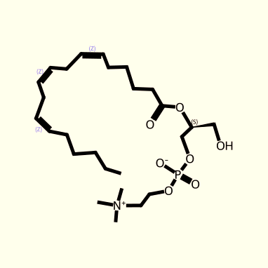 CCCCC/C=C\C/C=C\C/C=C\CCCCC(=O)O[C@@H](CO)COP(=O)([O-])OCC[N+](C)(C)C